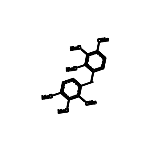 COc1ccc([CH]c2ccc(OC)c(OC)c2OC)c(OC)c1OC